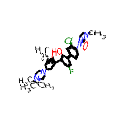 Cc1cc(-c2cc(F)cc(-c3ccc(-n4ccn(C)c4=O)c(Cl)c3)c2O)cc(N2CCN(C(C)(C)C)CC2)c1